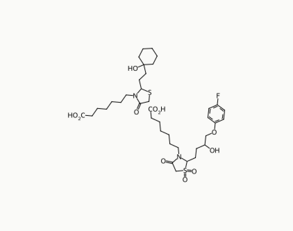 O=C(O)CCCCCCN1C(=O)CS(=O)(=O)C1CCC(O)COc1ccc(F)cc1.O=C(O)CCCCCCN1C(=O)CSC1CCC1(O)CCCCC1